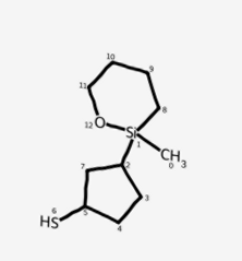 C[Si]1(C2CCC(S)C2)CCCCO1